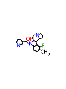 Cc1ccc2c(c1F)c1c(n2CC(O)c2cccnc2)CCN2CCCC12